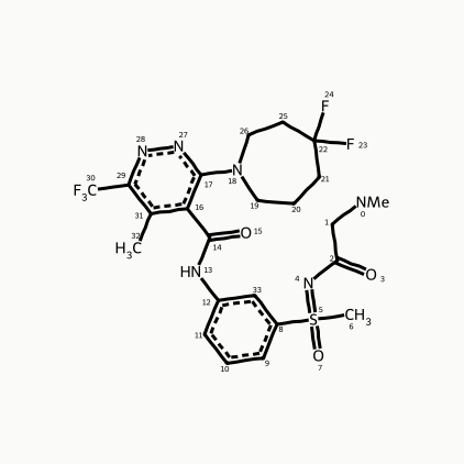 CNCC(=O)N=S(C)(=O)c1cccc(NC(=O)c2c(N3CCCC(F)(F)CC3)nnc(C(F)(F)F)c2C)c1